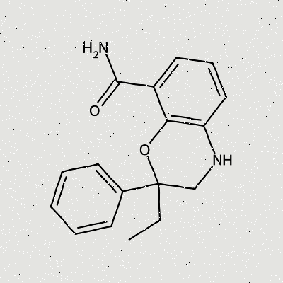 CCC1(c2ccccc2)CNc2cccc(C(N)=O)c2O1